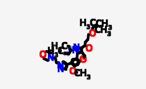 C/C=C\C(=C/C)n1nc(C(=O)CCCOCC(C)(C)C)c2c1-c1cc(-c3cnn(CCN4CCOCC4)c3)c(OC)cc1OC2